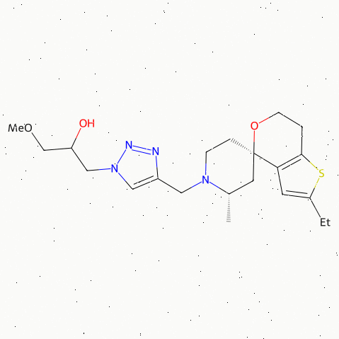 CCc1cc2c(s1)CCO[C@@]21CCN(Cc2cn(CC(O)COC)nn2)[C@@H](C)C1